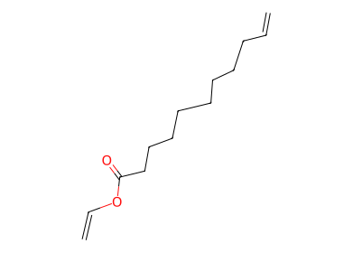 C=CCCCCCCCCC(=O)OC=C